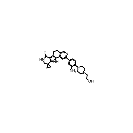 Nc1cc(-c2cc3c(cn2)CCc2c-3[nH]c3c2C(=O)NCC32CC2)ccc1N1CCN(CCO)CC1